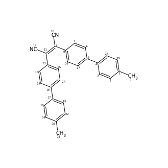 Cc1ccc(-c2ccc(C(C#N)=C(C#N)c3ccc(-c4ccc(C)cc4)cc3)cc2)cc1